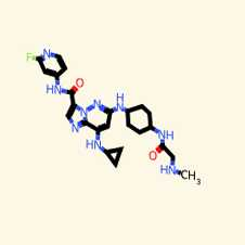 CNCC(=O)NC1CCC(Nc2cc(NC3CC3)c3ncc(C(=O)Nc4ccnc(F)c4)n3n2)CC1